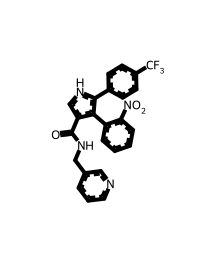 O=C(NCc1cccnc1)c1c[nH]c(-c2ccc(C(F)(F)F)cc2)c1-c1ccccc1[N+](=O)[O-]